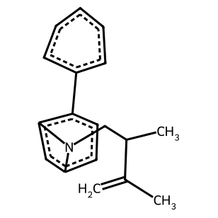 C=C(C)C(C)CN1c2ccc(-c3ccccc3)c1c2